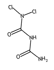 NC(=O)NC(=O)N(Cl)Cl